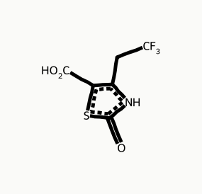 O=C(O)c1sc(=O)[nH]c1CC(F)(F)F